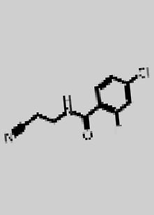 N#CCCNC(=O)c1ccc(Cl)cc1F